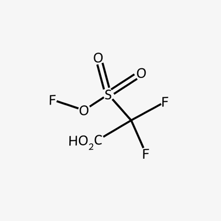 O=C(O)C(F)(F)S(=O)(=O)OF